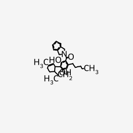 C=C(C)C1CCC(C)=CC1c1c(O)cc(CCCCC)c(C(=O)N2Cc3ccccc3C2)c1O